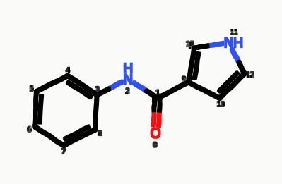 O=C(Nc1ccccc1)c1[c][nH]cc1